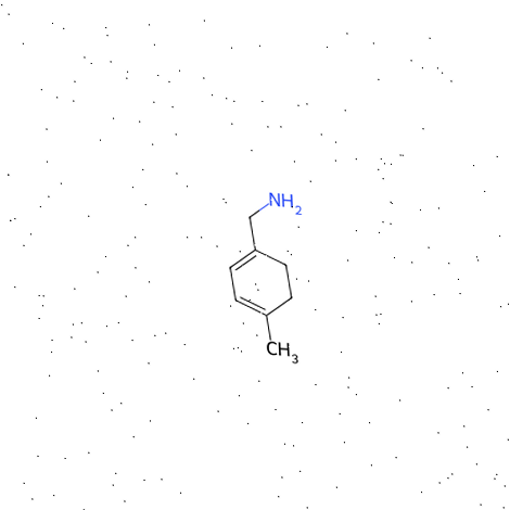 CC1=CC=C(CN)CC1